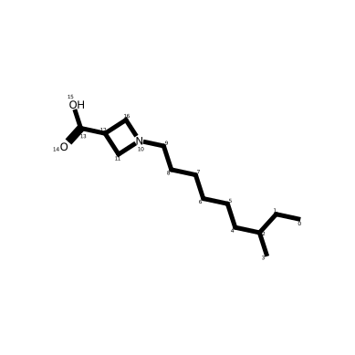 CCC(C)CCCCCCN1CC(C(=O)O)C1